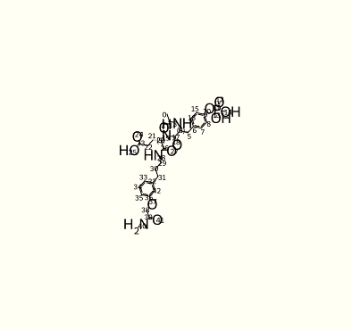 CC(=O)N[C@@H](Cc1ccc(OP(=O)(O)O)cc1)C(=O)N[C@@H](CCC(=O)O)C(=O)NCCCc1cccc(OCC(N)=O)c1